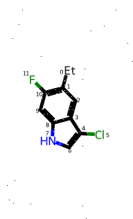 CCc1cc2c(Cl)c[nH]c2cc1F